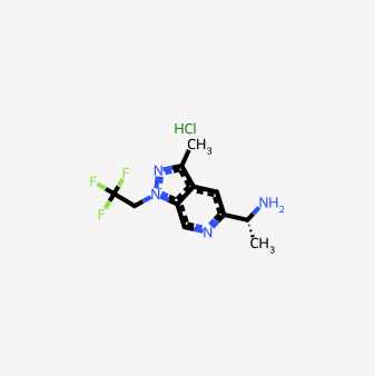 Cc1nn(CC(F)(F)F)c2cnc([C@@H](C)N)cc12.Cl